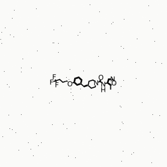 Cc1oncc1NC(=O)N1CCC(=Cc2cccc(OCCCC(F)(F)F)c2)CC1